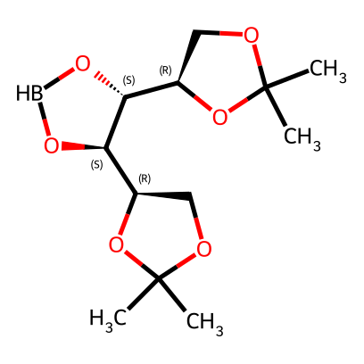 CC1(C)OC[C@H]([C@H]2OBO[C@@H]2[C@H]2COC(C)(C)O2)O1